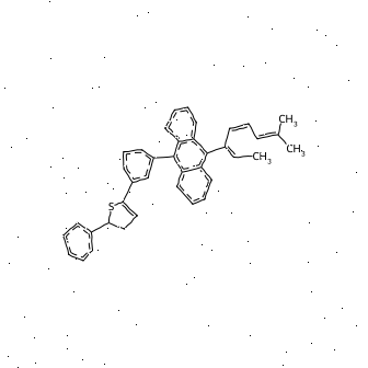 C/C=C(\C=C/C=C(C)C)c1c2ccccc2c(-c2cccc(C3=CCC(c4ccccc4)S3)c2)c2ccccc12